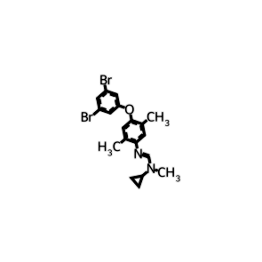 Cc1cc(Oc2cc(Br)cc(Br)c2)c(C)cc1N=CN(C)C1CC1